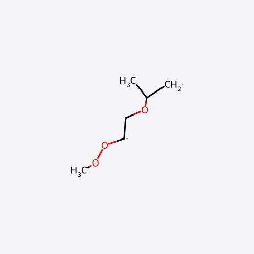 [CH2]C(C)OC[CH]OOC